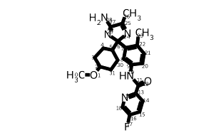 COC1CCC(C2(c3cc(NC(=O)c4ccc(F)cn4)ccc3C)N=C(C)C(N)=N2)CC1